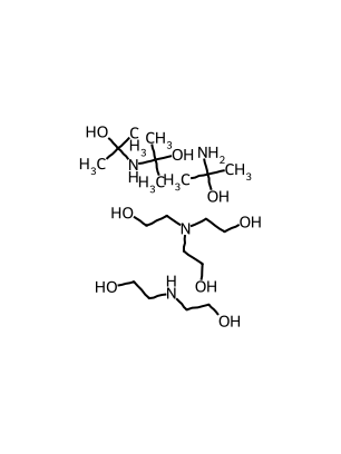 CC(C)(N)O.CC(C)(O)NC(C)(C)O.OCCN(CCO)CCO.OCCNCCO